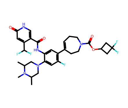 CC1CN(c2cc(F)c(C3=CCCN(C(=O)OC4CC(F)(F)C4)CC3)cc2NC(=O)c2c[nH]c(=O)cc2C(F)F)CC(C)N1C